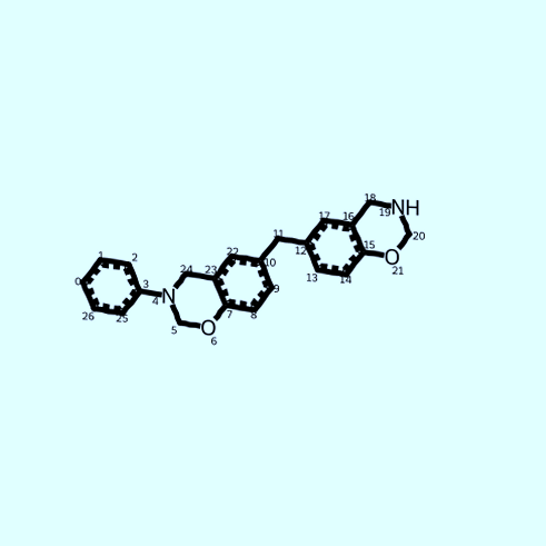 c1ccc(N2COc3ccc(Cc4ccc5c(c4)CNCO5)cc3C2)cc1